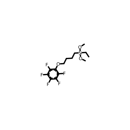 CC[Si](CCCCOc1c(F)c(F)c(F)c(F)c1F)(OC)OC